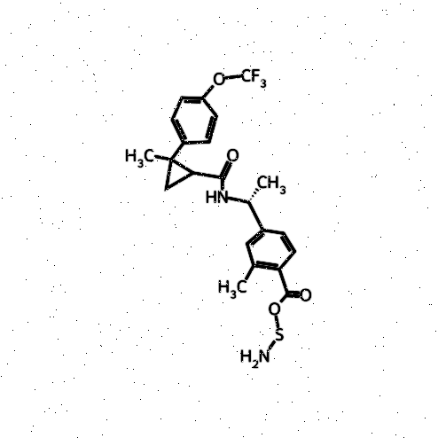 Cc1cc([C@@H](C)NC(=O)C2CC2(C)c2ccc(OC(F)(F)F)cc2)ccc1C(=O)OSN